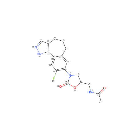 CC(=O)NCC1CN(c2cc3c(cc2F)-c2[nH]ncc2CCC3)C(=O)O1